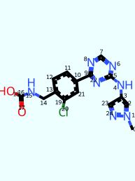 Cn1cc(Nc2ncnc(-c3ccc(CNC(=O)O)c(Cl)c3)n2)cn1